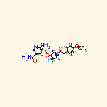 NC(=O)c1cnc(N)c(CO[C@H]2CN(C(=O)Cc3ccc(OC(F)(F)F)cc3)CC2(F)F)c1